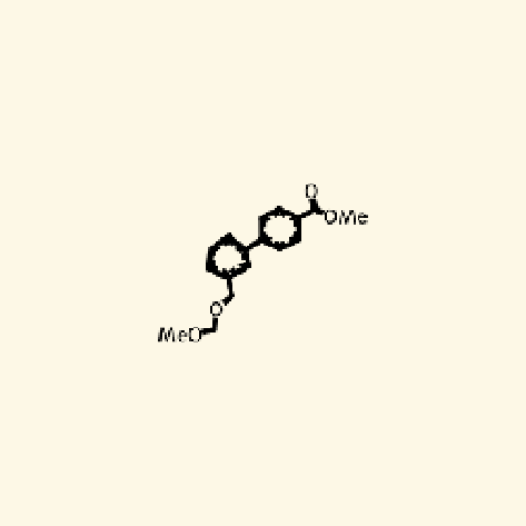 COCOCc1cccc(-c2ccc(C(=O)OC)cc2)c1